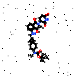 CN(C(=O)c1cccc(NC[C@H]2CC3(CC[C@H](N(C)C(=O)OC(C)(C)C)CC3)C2)c1C=O)C1CCC(=O)NC1=O